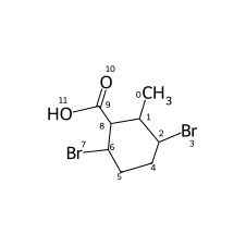 CC1C(Br)CCC(Br)C1C(=O)O